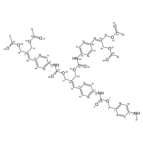 CNc1ccc(COC(=O)Nc2ccc(C=C(COC(=O)Nc3ccc(C=C(COC(C)=O)COC(C)=O)cc3)COC(=O)Nc3ccc(C=C(COC(C)=O)COC(C)=O)cc3)cc2)cc1